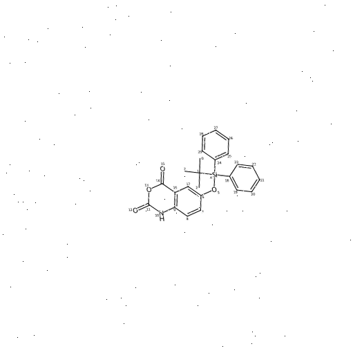 CC(C)(C)[Si](Oc1ccc2[nH]c(=O)oc(=O)c2c1)(c1ccccc1)c1ccccc1